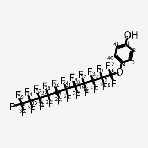 Oc1ccc(OC(F)(F)C(F)(F)C(F)(F)C(F)(F)C(F)(F)C(F)(F)C(F)(F)C(F)(F)C(F)(F)C(F)(F)C(F)(F)F)cc1